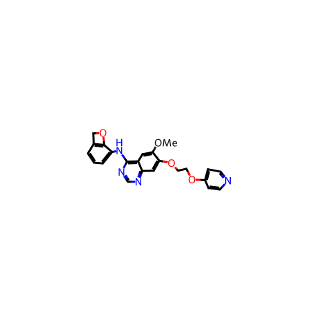 COc1cc2c(Nc3cccc4c3OC4)ncnc2cc1OCCOc1ccncc1